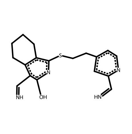 N=Cc1cc(CCSc2nc(O)c(C=N)c3c2CCCC3)ccn1